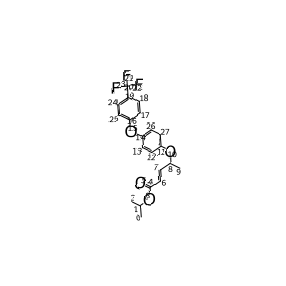 CC(C)OC(=O)/C=C/C(C)Oc1ccc(Oc2ccc(C(F)(F)F)cc2)cc1